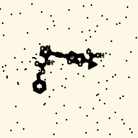 O=C(Nc1conc1C#Cc1cc2cc(C3(C(=O)O)CC3)oc2o1)OCc1ccccc1